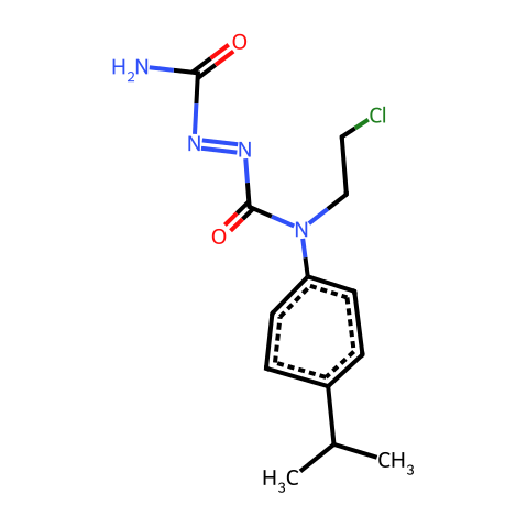 CC(C)c1ccc(N(CCCl)C(=O)N=NC(N)=O)cc1